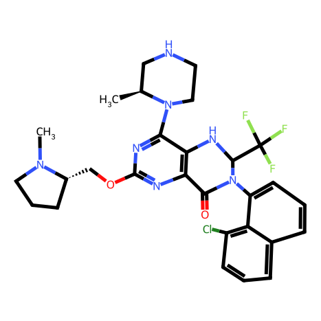 C[C@H]1CNCCN1c1nc(OC[C@@H]2CCCN2C)nc2c1NC(C(F)(F)F)N(c1cccc3cccc(Cl)c13)C2=O